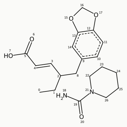 CCC(C=CC(=O)O)Cc1ccc2c(c1)OCO2.NC(=O)N1CCCCC1